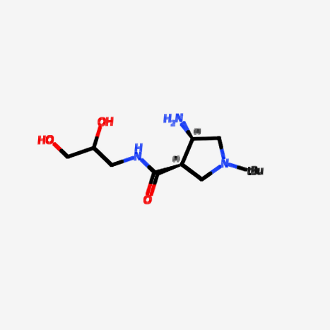 CC(C)(C)N1C[C@H](N)[C@H](C(=O)NCC(O)CO)C1